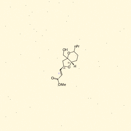 CCCC1CC[C@@H]2O[C@@H](/C=C/C(=O)OC)CC2(CO)O1